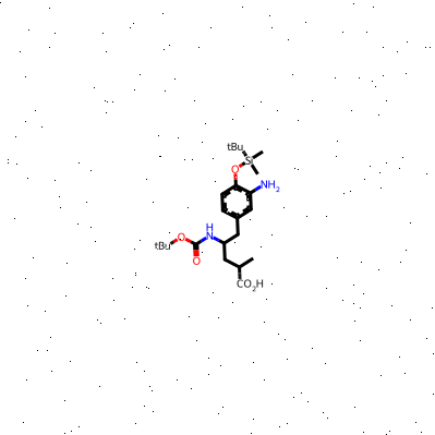 CC(CC(Cc1ccc(O[Si](C)(C)C(C)(C)C)c(N)c1)NC(=O)OC(C)(C)C)C(=O)O